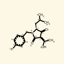 C/C(O)=C1\C(=O)[C@H](CC(C)C)N(Cc2ccc(F)cc2)C1=O